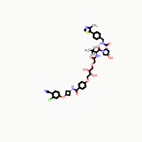 Cc1ncsc1-c1ccc(CNC(=O)[C@@H]2C[C@@H](O)CN2C(=O)[C@@H](NC(=O)COC[C@H](O)[C@@H](O)COc2ccc(C(=O)N[C@H]3C[C@H](Oc4ccc(C#N)c(Cl)c4)C3)cc2)C(C)(C)C)cc1